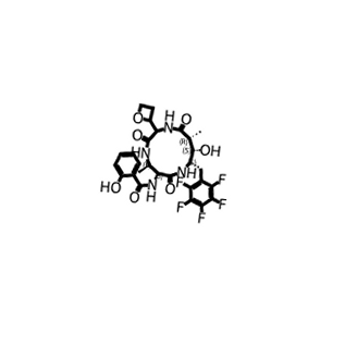 C[C@H]1NC(=O)C(C2CCO2)NC(=O)[C@H](C)[C@H](O)[C@H](Cc2c(F)c(F)c(F)c(F)c2F)NC(=O)[C@H]1NC(=O)c1ccccc1O